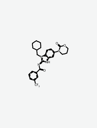 O=C(/N=c1\[nH]c2cc(N3CCCOC3=O)ccc2n1CC1CCCCC1)c1cccc(C(F)(F)F)c1